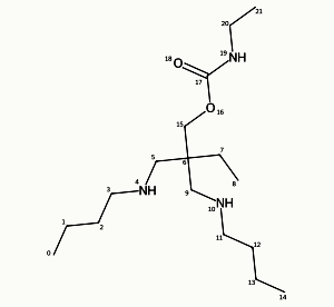 CCCCNCC(CC)(CNCCCC)COC(=O)NCC